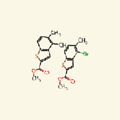 COC(=O)c1cc2c(Br)c(C)ccc2s1.COC(=O)c1cc2c(C)c(C)ccc2s1